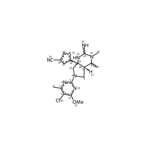 C=C1[C@@H]2CN(c3nc(C)c(Cl)c(OC)n3)C[C@]2(c2cc(C#N)cs2)NC(=N)N1C